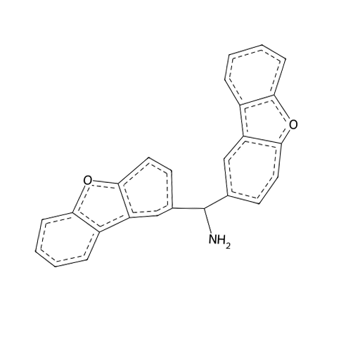 NC(c1ccc2oc3ccccc3c2c1)c1ccc2oc3ccccc3c2c1